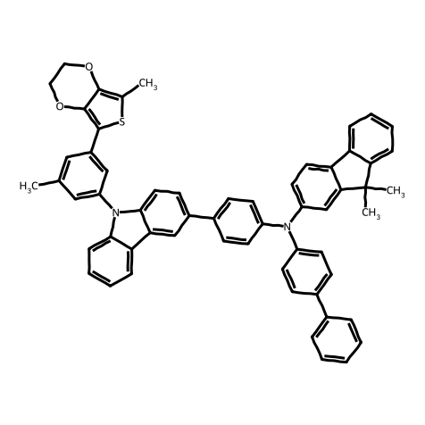 Cc1cc(-c2sc(C)c3c2OCCO3)cc(-n2c3ccccc3c3cc(-c4ccc(N(c5ccc(-c6ccccc6)cc5)c5ccc6c(c5)C(C)(C)c5ccccc5-6)cc4)ccc32)c1